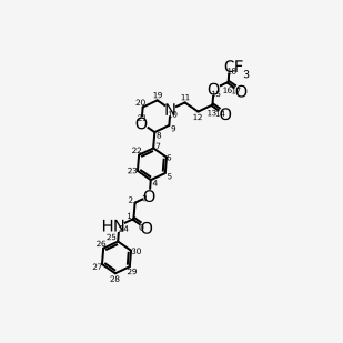 O=C(COc1ccc(C2CN(CCC(=O)OC(=O)C(F)(F)F)CCO2)cc1)Nc1ccccc1